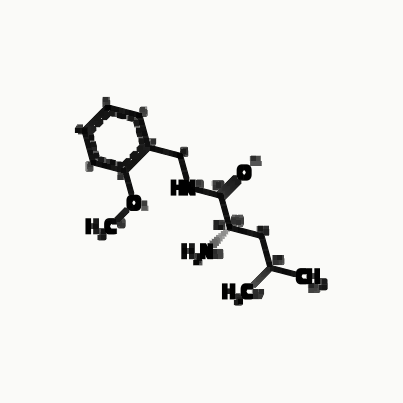 COc1ccccc1CNC(=O)[C@@H](N)CC(C)C